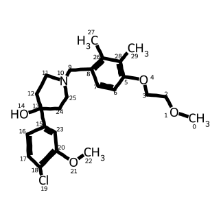 COCCOc1ccc(CN2CCC(O)(c3ccc(Cl)c(OC)c3)CC2)c(C)c1C